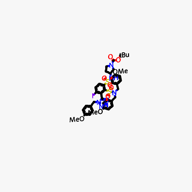 COc1ccc(CN(Cc2ccc(OC)cc2)S(=O)(=O)c2c(S(=O)(=O)NC3CCN(C(=O)OC(C)(C)C)C3)ccc(I)c2-c2nnnn2Cc2ccc(OC)cc2)cc1